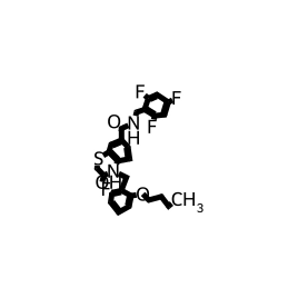 CCCCOc1cccc(F)c1CN1c2ccc(C(=O)NCc3c(F)cc(F)cc3F)cc2SCC1O